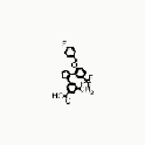 Cc1cc(C(=O)O)cc(C2=C(c3cc(C(F)(F)F)ccc3OCc3ccc(F)cc3)CCC2)c1